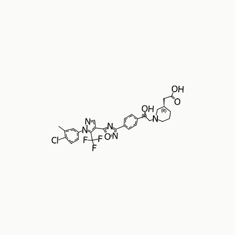 Cc1cc(-n2ncc(-c3nc(-c4ccc([C@@H](O)CN5CCC[C@H](CC(=O)O)C5)cc4)no3)c2C(F)(F)F)ccc1Cl